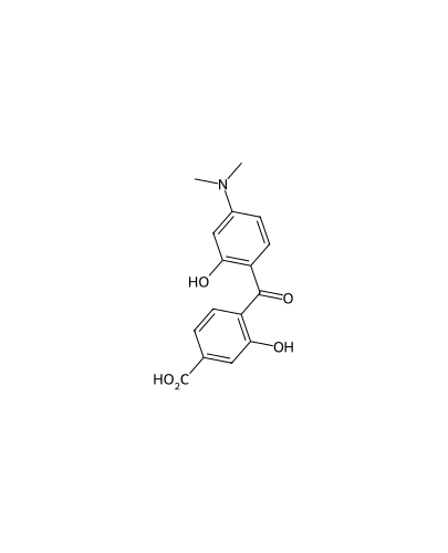 CN(C)c1ccc(C(=O)c2ccc(C(=O)O)cc2O)c(O)c1